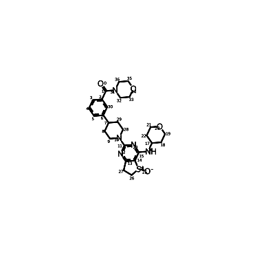 O=C(c1cccc(C2CCN(c3nc4c(c(NC5CCOCC5)n3)[S+]([O-])CC4)CC2)c1)N1CCOCC1